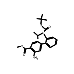 COC(=O)c1ccc(-c2ccccc2N(C(=O)OC(C)(C)C)C(C)C)cc1N